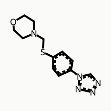 c1cc(-n2cnnn2)ccc1SCN1CCOCC1